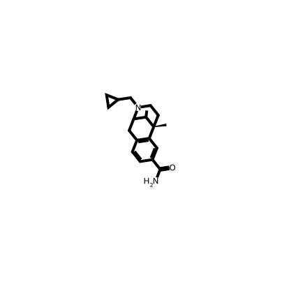 CC1C2Cc3ccc(C(N)=O)cc3[C@@]1(C)CCN2CC1CC1